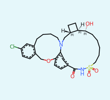 O=C1NS(=O)(=O)CCCCC[C@@H](O)[C@@H]2CC[C@H]2CN2CCCCc3cc(Cl)ccc3COc3ccc1cc32